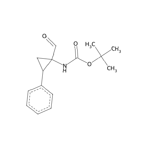 CC(C)(C)OC(=O)NC1(C=O)CC1c1ccccc1